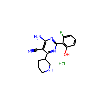 Cl.N#Cc1c(N)nc(-c2c(O)cccc2F)nc1C1CCCNC1